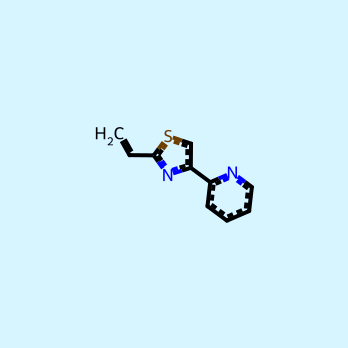 C=Cc1nc(-c2ccccn2)cs1